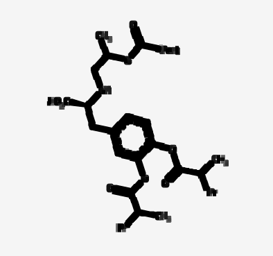 CCCC(C)C(=O)OC(C)CN[C@@H](Cc1ccc(OC(=O)C(C)C(C)C)c(OC(=O)C(C)C(C)C)c1)C(=O)O